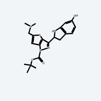 CN(C)Cc1cc2c(s1)c(C1Cc3ccc(O)cc3N1)nn2C(=O)OC(C)(C)C